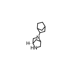 C1CC2CC1CC2N1C[C@H]2CC1CN2